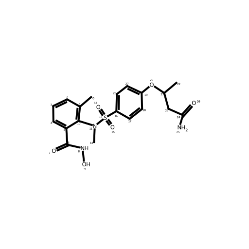 Cc1cccc(C(=O)NO)c1N(C)S(=O)(=O)c1ccc(OC(C)CC(N)=O)cc1